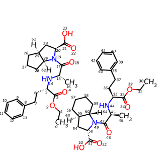 CCOC(=O)[C@H](CCc1ccccc1)N[C@@H](C)C(=O)N1[C@H](C(=O)O)C[C@@H]2CCC[C@@H]21.CCOC(=O)[C@H](CCc1ccccc1)N[C@@H](C)C(=O)N1[C@H](C(=O)O)C[C@H]2CCCC[C@@H]21